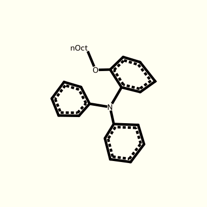 CCCCCCCCOc1ccccc1N(c1ccccc1)c1ccccc1